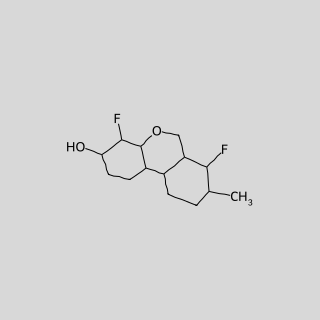 CC1CCC2C(COC3C(F)C(O)CCC23)C1F